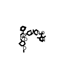 CCOC1CCC(CN2C[C@@H](c3ccccc3)N(C3CCN(C4(C)CCN(C(=O)c5c(C)ccnc5C)CC4)CC3)C2=O)CC1